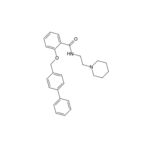 O=C(NCCN1CCCCC1)c1ccccc1OCc1ccc(-c2ccccc2)cc1